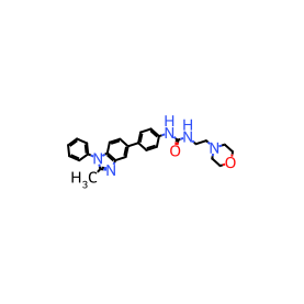 Cc1nc2cc(-c3ccc(NC(=O)NCCN4CCOCC4)cc3)ccc2n1-c1ccccc1